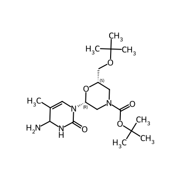 CC1=CN([C@H]2CN(C(=O)OC(C)(C)C)C[C@@H](COC(C)(C)C)O2)C(=O)NC1N